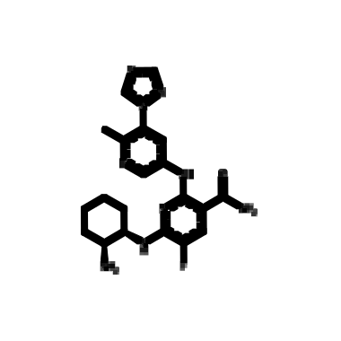 Cc1ncc(Nc2nc(N[C@@H]3CCCC[C@@H]3N)c(F)cc2C(N)=O)cc1-n1cncn1